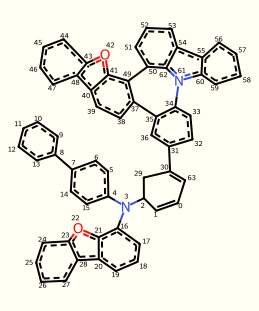 C1=CC(N(c2ccc(-c3ccccc3)cc2)c2cccc3c2oc2ccccc23)CC(c2ccc3c(c2)-c2ccc4c(oc5ccccc54)c2-c2cccc4c5ccccc5n-3c24)=C1